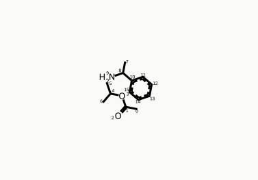 CC(=O)OC(C)C.CC(N)c1ccccc1